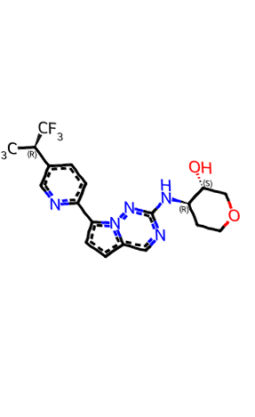 C[C@H](c1ccc(-c2ccc3cnc(N[C@@H]4CCOC[C@H]4O)nn23)nc1)C(F)(F)F